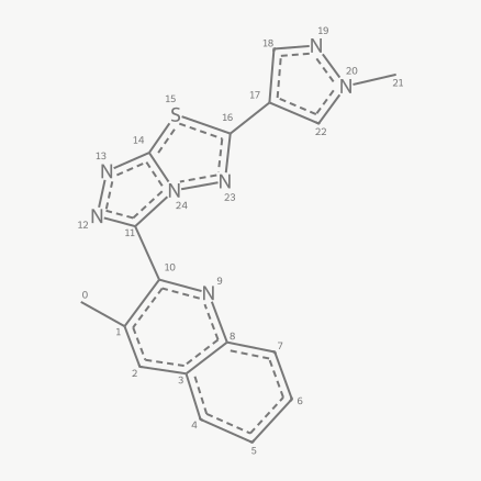 Cc1cc2ccccc2nc1-c1nnc2sc(-c3cnn(C)c3)nn12